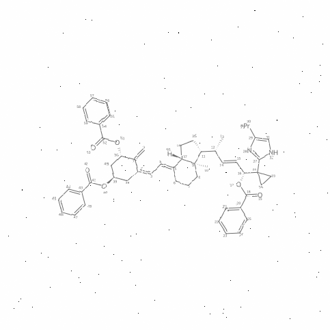 C=C1/C(=C\C=C2/CCC[C@]3(C)[C@@H]([C@H](C)/C=C/[C@@H](OC(=O)c4ccccc4)C4(c5nc(CCC)c[nH]5)CC4)CC[C@@H]23)C[C@@H](OC(=O)c2ccccc2)C[C@@H]1OC(=O)c1ccccc1